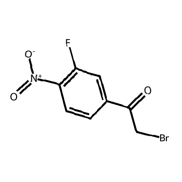 O=C(CBr)c1ccc([N+](=O)[O-])c(F)c1